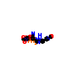 CC(O)C(=O)N1CCC(Oc2ccc(-c3ccnc(Nc4cccc(C5CCN(C6COC6)CC5)c4)n3)cc2C#N)C(P)(P)C1